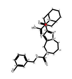 O=C(O)C1CC2CCCC(C1)N2C(=O)c1cc2n(n1)CCCN(C(=O)OCc1cccc(Cl)c1)C2